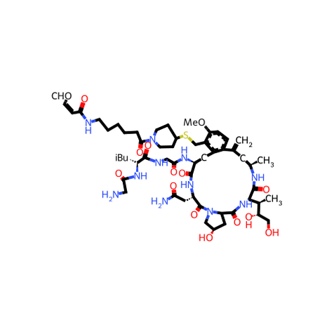 C=C1C[C@@H](C)NC(=O)C([C@@H](C)[C@@H](O)CO)NC(=O)C2C[C@@H](O)CN2C(=O)[C@H](CC(N)=O)NC(=O)[C@@H](NC(=O)CNC(=O)[C@@H](NC(=O)CN)[C@@H](C)CC)Cc2c1ccc(OC)c2CSC1CCN(C(=O)CCCCCNC(=O)/C=C\C=O)CC1